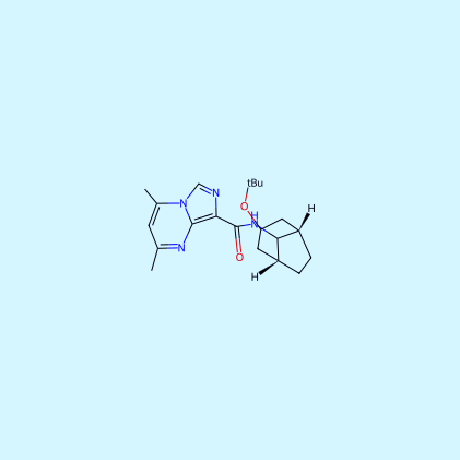 Cc1cc(C)n2cnc(C(=O)NC3[C@@H]4CC[C@H]3CC(OC(C)(C)C)C4)c2n1